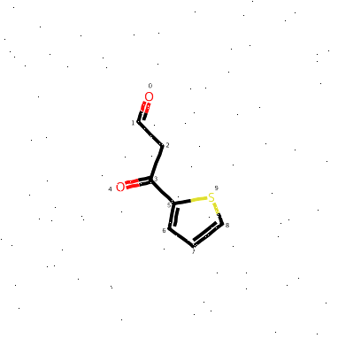 O=[C]CC(=O)c1cccs1